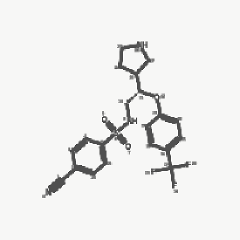 N#Cc1ccc(S(=O)(=O)NC[C@@H](Oc2ccc(C(F)(F)F)cc2)C2CCNC2)cc1